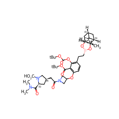 CN(C)C(=O)[C@@H]1C[C@H](CC(=O)N2CC(Oc3ccc(CCB4O[C@@H]5C[C@@H]6C[C@@H](C6(C)C)[C@]5(C)O4)c(OC(=O)OC(C)(C)C)c3C(=O)OC(C)(C)C)C2)CN1C(=O)O